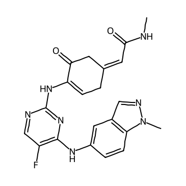 CNC(=O)C=C1CC=C(Nc2ncc(F)c(Nc3ccc4c(cnn4C)c3)n2)C(=O)C1